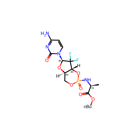 CCCCOC(=O)[C@H](C)NP1(=O)OC[C@H]2O[C@@H](n3ccc(N)nc3=O)C(F)(F)[C@@H]2O1